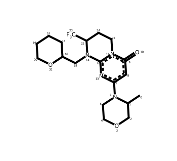 CC1COCCN1c1cc(=O)n2c(n1)N(CC1CCCCO1)C(C(F)(F)F)CC2